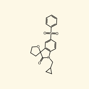 O=C1N(CC2CC2)c2ccc(S(=O)(=O)c3ccccc3)cc2C12CCCO2